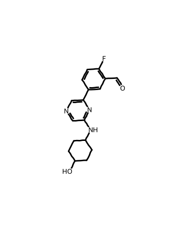 O=Cc1cc(-c2cncc(NC3CCC(O)CC3)n2)ccc1F